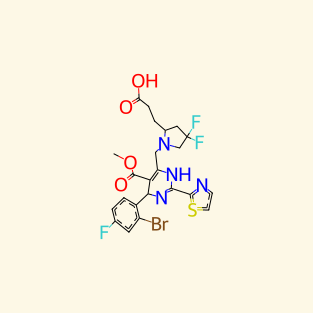 COC(=O)C1=C(CN2CC(F)(F)CC2CCC(=O)O)NC(c2nccs2)=NC1c1ccc(F)cc1Br